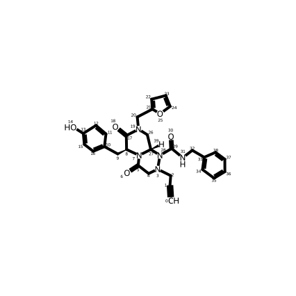 C#CCN1CC(=O)N2[C@@H](Cc3ccc(O)cc3)C(=O)N(Cc3ccco3)C[C@@H]2N1C(=O)NCc1ccccc1